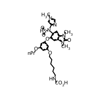 CCCOc1cc(OCCCCCCNC(=O)O)cc(Oc2cc3c(cc2N(c2cn(C)cn2)[SH](=O)=O)n(C)c(=O)n3C)c1